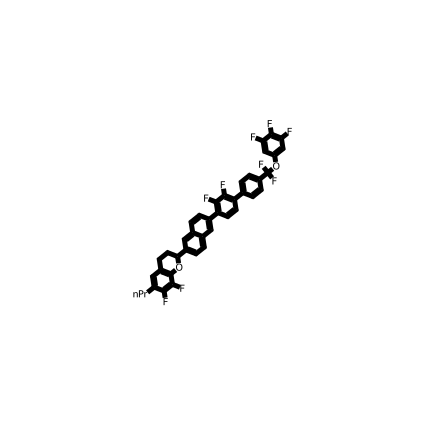 CCCc1cc2c(c(F)c1F)OC(c1ccc3cc(-c4ccc(-c5ccc(C(F)(F)Oc6cc(F)c(F)c(F)c6)cc5)c(F)c4F)ccc3c1)CC2